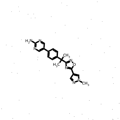 Cn1cc(-c2nc(C(C)(C)c3ccc(-c4cnc(N)nc4)cc3)no2)cn1